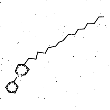 CCCCCCCCCCCCCCCCc1cc[n+](-c2ccccc2)cc1